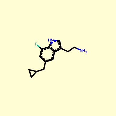 NCCc1c[nH]c2c(F)cc(CC3CC3)cc12